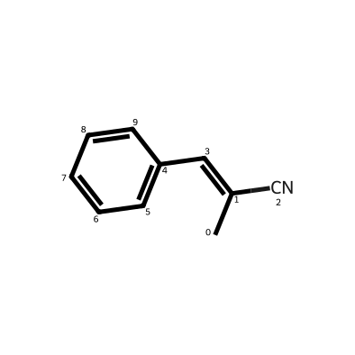 CC(C#N)=Cc1ccccc1